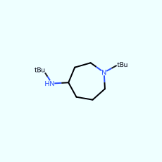 CC(C)(C)NC1CCCN(C(C)(C)C)CC1